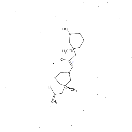 C=C(Cl)C[C@]1(C)CCCN(/C=C(\Cl)C[C@]2(C)CCCN(O)C2)C1